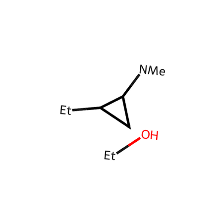 CCC1CC1NC.CCO